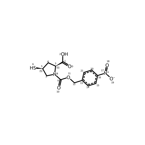 O=C(O)[C@@H]1C[C@H](S)CN1C(=O)OCc1ccc([N+](=O)[O-])cc1